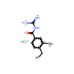 CC(C)Cc1ccc(C(=O)NC(=N)N)cc1C(C)(C)C.Cl